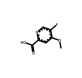 COc1cc(C(=O)O)ncc1F